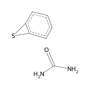 NC(N)=O.c1ccc2c(c1)S2